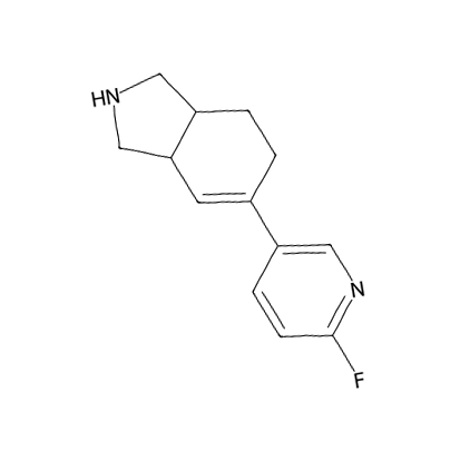 Fc1ccc(C2=CC3CNCC3CC2)cn1